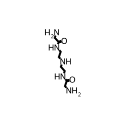 NCC(=O)NCCNCCNC(=O)CN